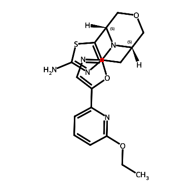 CCOc1cccc(-c2cnc(N3[C@@H]4COC[C@H]3c3sc(N)nc3C4)o2)n1